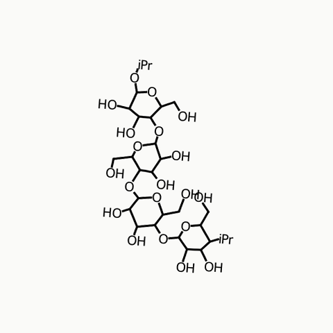 CC(C)OC1OC(CO)C(OC2OC(CO)C(OC3OC(CO)C(OC4OC(CO)C(C(C)C)C(O)C4O)C(O)C3O)C(O)C2O)C(O)C1O